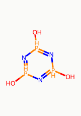 O[PH]1=N[PH](O)=N[PH](O)=N1